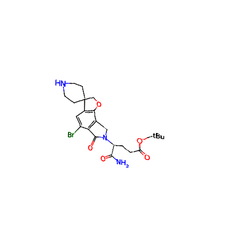 CC(C)(C)OC(=O)CCC(C(N)=O)N1Cc2c3c(cc(Br)c2C1=O)C1(CCNCC1)CO3